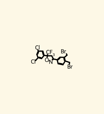 FC(F)(F)C1(c2cc(Cl)cc(Cl)c2)CC(c2ccc(CBr)c(CBr)c2)=NO1